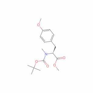 COC(=O)[C@H](Cc1ccc(OC)cc1)N(C)C(=O)OC(C)(C)C